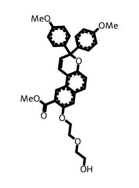 COC(=O)c1cc2c3c(ccc2cc1OCCOCCO)OC(c1ccc(OC)cc1)(c1ccc(OC)cc1)C=C3